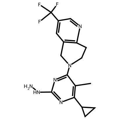 Cc1c(C2CC2)nc(NN)nc1N1CCc2ncc(C(F)(F)F)cc2C1